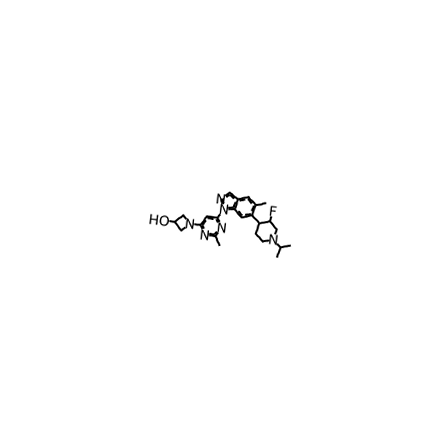 Cc1nc(N2CC(O)C2)cc(-n2ncc3cc(C)c(C4CCN(C(C)C)CC4F)cc32)n1